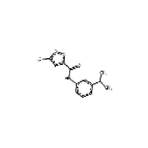 Cc1cc(C(=O)Nc2cccc(C(C)C)c2)no1